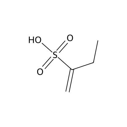 C=C(CC)S(=O)(=O)O